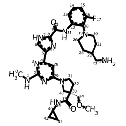 CNc1nc(-c2c[nH]c(C(=O)Nc3cccc(F)c3N3CCC(CN)CC3)n2)cc(N2CC[C@@](COC)(C(=O)NC3CC3)C2)n1